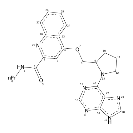 CCCNC(=O)c1cc(OCC2CCCN2c2ncnc3[nH]cnc23)c2ccccc2n1